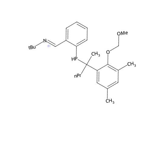 CCCC(C)(Pc1ccccc1/C=N/C(C)(C)C)c1cc(C)cc(C)c1OCOC